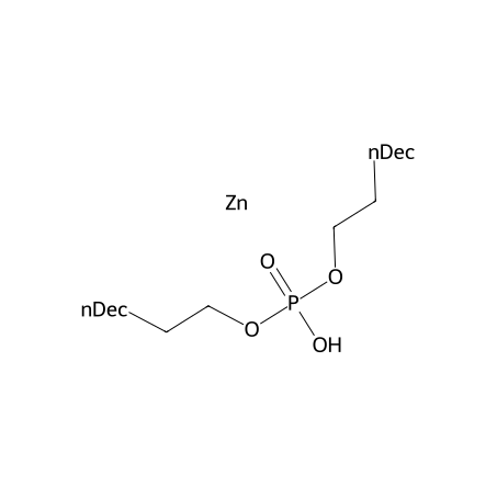 CCCCCCCCCCCCOP(=O)(O)OCCCCCCCCCCCC.[Zn]